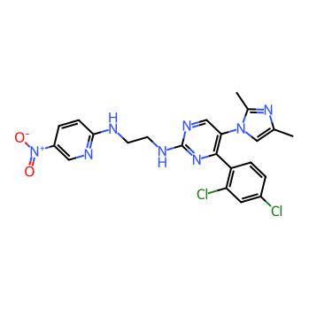 Cc1cn(-c2cnc(NCCNc3ccc([N+](=O)[O-])cn3)nc2-c2ccc(Cl)cc2Cl)c(C)n1